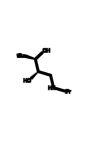 CC(C)NC[C@H](O)[C@H](O)C(C)(C)C